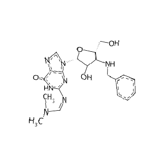 CN(C)/C=N\c1nc2c(ncn2[C@@H]2O[C@H](CO)C(NCc3ccccc3)C2O)c(=O)[nH]1